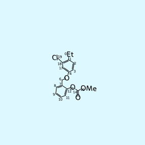 CCc1ccc(OCc2ccccc2OC(=O)OC)cc1Cl